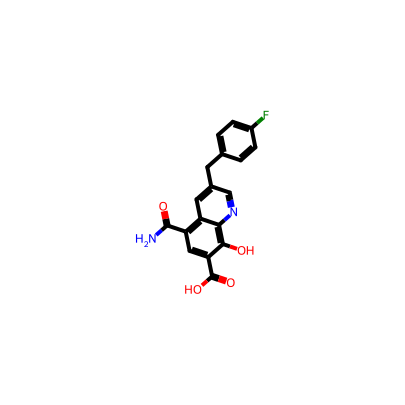 NC(=O)c1cc(C(=O)O)c(O)c2ncc(Cc3ccc(F)cc3)cc12